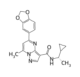 Cc1cc(-c2ccc3c(c2)OCO3)nc2c(C(=O)N[C@@H](C)C3CC3)cnn12